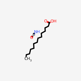 CCCCCCCCCCCCCC(=O)O.N=C=O